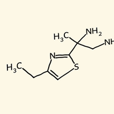 CCc1csc(C(C)(N)CN)n1